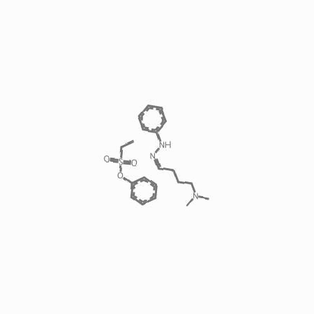 CCS(=O)(=O)Oc1ccccc1.CN(C)CCC/C=N\Nc1ccccc1